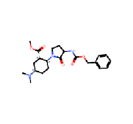 COC(=O)[C@H]1C[C@H](N(C)C)CC[C@@H]1N1CCC(NC(=O)OCc2ccccc2)C1=O